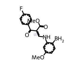 Bc1ccc(OC)cc1N/C=C(\C(=O)OC)C(=O)c1ccc(F)cc1